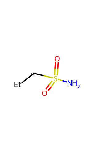 CC[CH]S(N)(=O)=O